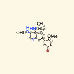 COc1ccc(Br)cc1-c1ccc2c(N[C@H](C)C3CC3)c(NC=O)cnc2c1